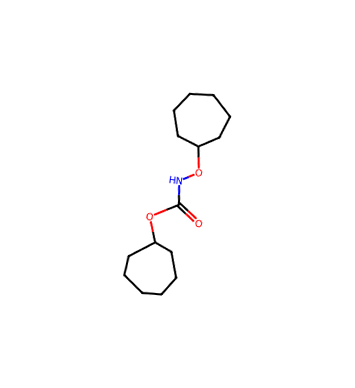 O=C(NOC1CCCCCC1)OC1CCCCCC1